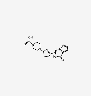 O=C(O)N1CCN(C2C=C(c3cn4cccc4c(=O)[nH]3)CC2)CC1